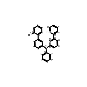 Oc1ccccc1-c1cccc(N(c2ccccc2)c2cccc(-c3ccccn3)n2)c1